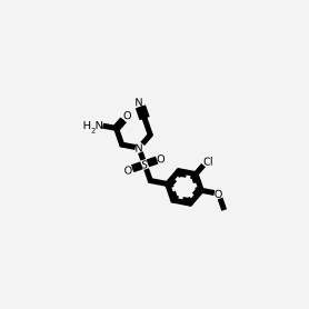 COc1ccc(CS(=O)(=O)N(CC#N)CC(N)=O)cc1Cl